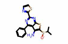 CC(C)[S+]([O-])c1sc2nc(-c3nccs3)nc(-c3ccccc3)c2c1N